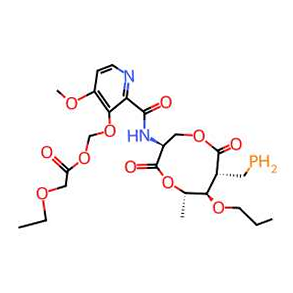 CCCO[C@H]1[C@H](C)OC(=O)[C@@H](NC(=O)c2nccc(OC)c2OCOC(=O)COCC)COC(=O)[C@@H]1CP